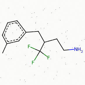 Cc1cccc(CC(CCN)C(F)(F)F)c1